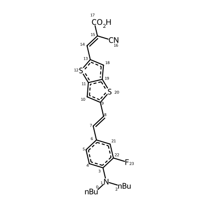 CCCCN(CCCC)c1ccc(/C=C/c2cc3sc(/C=C(\C#N)C(=O)O)cc3s2)cc1F